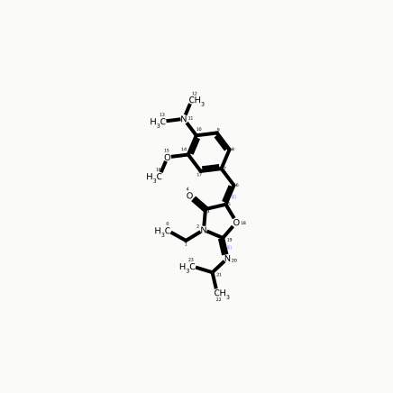 CCN1C(=O)/C(=C\c2ccc(N(C)C)c(OC)c2)O/C1=N/C(C)C